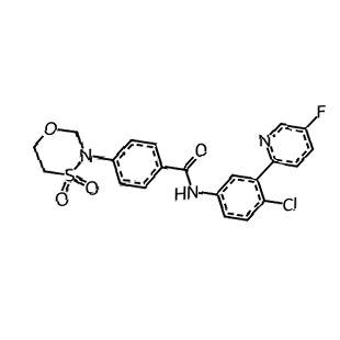 O=C(Nc1ccc(Cl)c(-c2ccc(F)cn2)c1)c1ccc(N2COCCS2(=O)=O)cc1